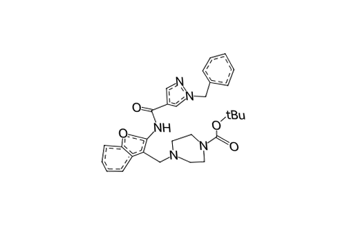 CC(C)(C)OC(=O)N1CCN(Cc2c(NC(=O)c3cnn(Cc4ccccc4)c3)oc3ccccc23)CC1